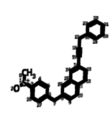 C[S+]([O-])c1ccc(Cc2ccc3ccc(C#CCc4ccccc4)cc3c2)cc1